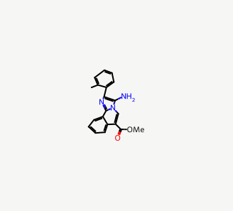 COC(=O)c1cn2c(N)c(-c3ccccc3C)nc2c2ccccc12